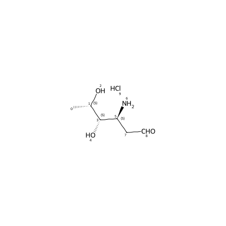 C[C@H](O)[C@@H](O)[C@@H](N)CC=O.Cl